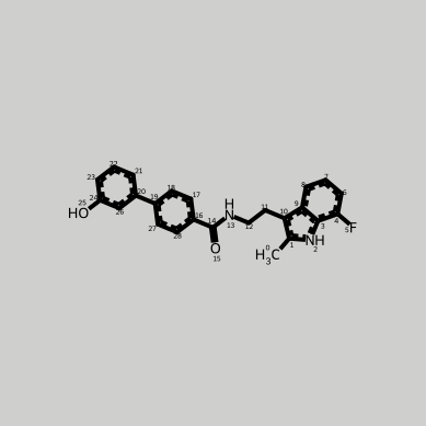 Cc1[nH]c2c(F)cccc2c1CCNC(=O)c1ccc(-c2cccc(O)c2)cc1